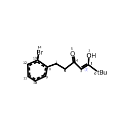 CC(C)(C)/C(O)=C/C(=O)CCc1ccccc1Br